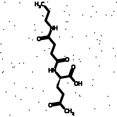 CCCNC(=O)CCC(=O)N[C@@H](CCC(C)=O)C(=O)O